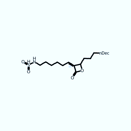 CCCCCCCCCCCCCC1OC(=O)/C1=C\CCCCCN[SH](=O)=O